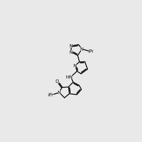 CC(C)N1Cc2cccc(Nc3cccc(-c4nncn4C(C)C)n3)c2C1=O